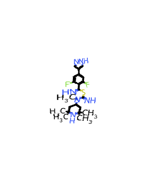 CN(C(=N)SC(=N)c1c(F)cc(-c2cn[nH]c2)cc1F)C1CC(C)(C)NC(C)(C)C1